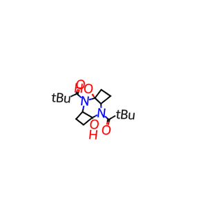 CC(C)(C)C(=O)N1C2CC[C@@]2(O)N(C(=O)C(C)(C)C)C2CC[C@@]21O